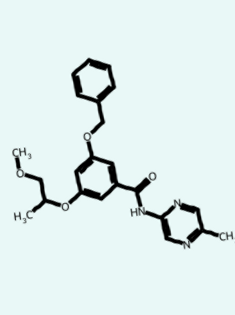 COCC(C)Oc1cc(OCc2ccccc2)cc(C(=O)Nc2cnc(C)cn2)c1